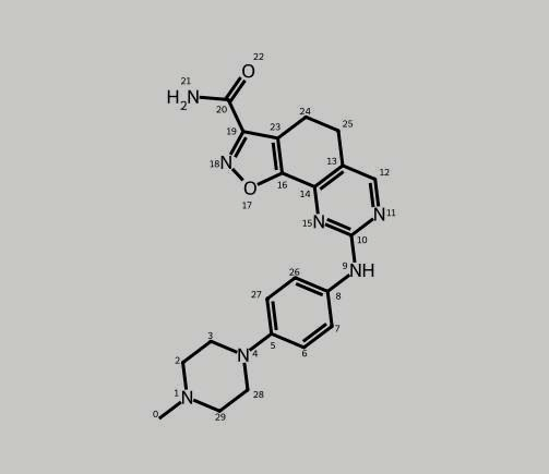 CN1CCN(c2ccc(Nc3ncc4c(n3)-c3onc(C(N)=O)c3CC4)cc2)CC1